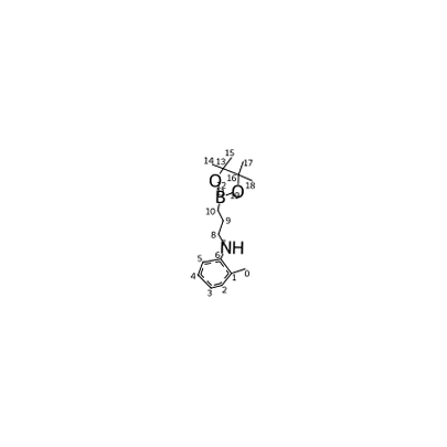 Cc1ccccc1NCCCB1OC(C)(C)C(C)(C)O1